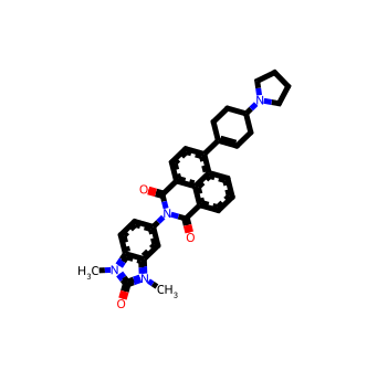 Cn1c(=O)n(C)c2cc(N3C(=O)c4cccc5c(C6=CCC(N7CCCC7)CC6)ccc(c45)C3=O)ccc21